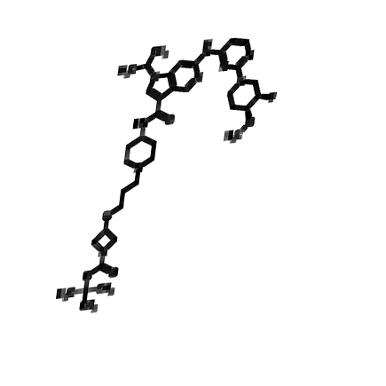 CO[C@H]1CCN(c2nccc(Nc3cc4c(cn3)c(C(=O)NC3CCN(CCCOC5CN(C(=O)OC(C)(C)C)C5)CC3)cn4C(C)C)n2)C[C@H]1F